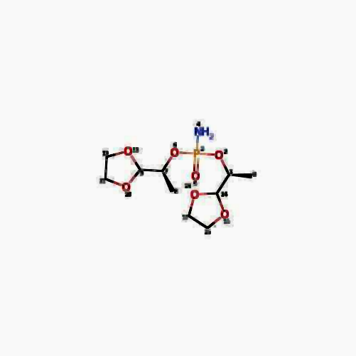 C[C@H](OP(N)(=O)O[C@@H](C)C1OCCO1)C1OCCO1